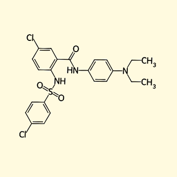 CCN(CC)c1ccc(NC(=O)c2cc(Cl)ccc2NS(=O)(=O)c2ccc(Cl)cc2)cc1